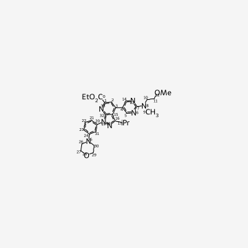 CCOC(=O)c1cc(-c2cnc(N(C)CCOC)nc2)c2c(C(C)C)nn(-c3cccc(N4CCOCC4)c3)c2n1